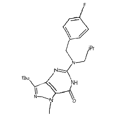 CC(C)CN(Cc1ccc(F)cc1)c1nc2c(C(C)(C)C)nn(C)c2c(=O)[nH]1